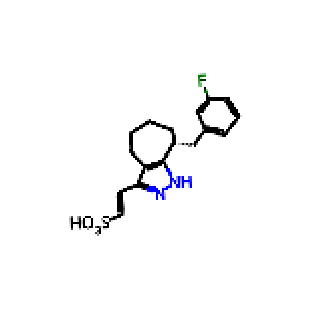 O=S(=O)(O)/C=C/c1n[nH]c2c1CCCC[C@@H]2Cc1cccc(F)c1